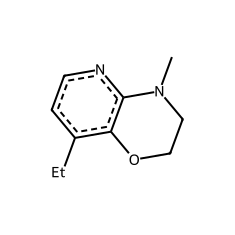 CCc1ccnc2c1OCCN2C